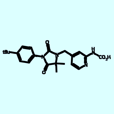 CC(C)(C)c1ccc(N2C(=O)N(Cc3ccnc(NC(=O)O)c3)C(C)(C)C2=O)cc1